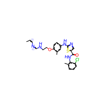 C/C=C\N=C/NCCOc1ccc(Nc2ncc(C(=O)Nc3c(C)cccc3Cl)s2)cc1C